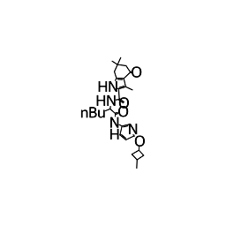 CCCCC(NC(=O)c1[nH]c2c(c1C)C(=O)CC(C)(C)C2)C(=O)Nc1ccc(OC2CC(C)C2)nc1